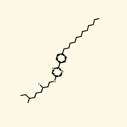 CCCCCCCCCCCCc1ccc(-c2ncc(OCCC(F)CCCC(C)CC)cn2)cc1